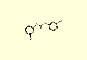 Clc1cccc(OBOc2cccc(Cl)c2)c1